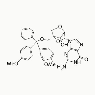 COc1ccc(C(OC[C@]23COC(C2O)[C@H](n2cnc4c(=O)[nH]c(N)nc42)O3)(c2ccccc2)c2ccc(OC)cc2)cc1